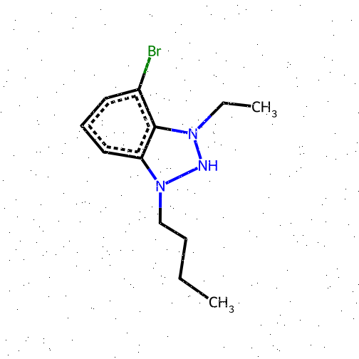 CCCCN1NN(CC)c2c(Br)cccc21